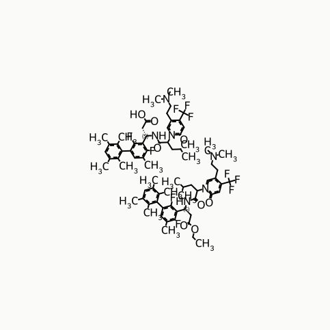 CCOC(=O)C[C@H](NC(=O)C(CC(C)C)n1cc(CCN(C)C)c(C(F)(F)F)cc1=O)c1c(F)c(C)cc(-c2c(C)c(C)cc(C)c2C)c1F.Cc1cc(C)c(C)c(-c2cc(C)c(F)c([C@H](CC(=O)O)NC(=O)C(CC(C)C)n3cc(CCN(C)C)c(C(F)(F)F)cc3=O)c2F)c1C